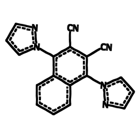 N#Cc1c(C#N)c(-n2cccn2)c2ccccc2c1-n1cccn1